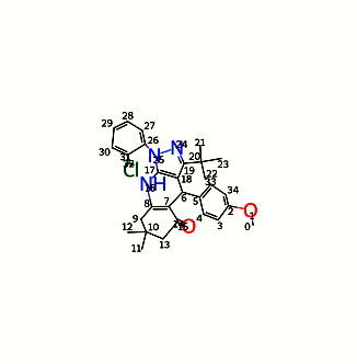 COc1ccc(C2C3=C(CC(C)(C)CC3=O)Nc3c2c(C(C)(C)C)nn3-c2ccccc2Cl)cc1